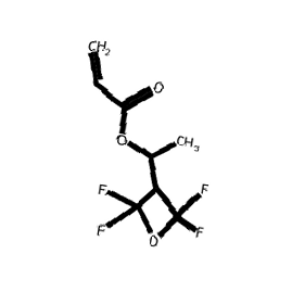 C=CC(=O)OC(C)C1C(F)(F)OC1(F)F